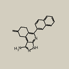 C=C1CCc2c(-c3ccc4ccccc4c3)nc3[nH]nc(N)c3c2C1